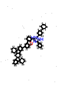 C1=CCCC(c2ccc([C@@H]3NC(c4cccc5c4oc4ccc(-c6ccc7c(c6)C6=CC8=C(CC6C76CCCCC6)c6ccccc6C86CCCCC6)cc45)=NC(c4ccccc4)N3)cc2)=C1